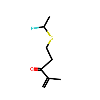 C=C(C)C(=O)CCSC(C)F